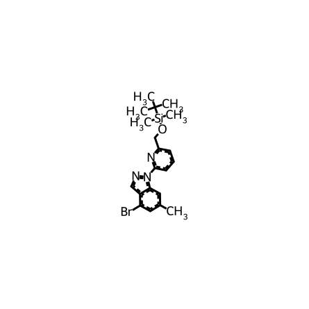 Cc1cc(Br)c2cnn(-c3cccc(CO[Si](C)(C)C(C)(C)C)n3)c2c1